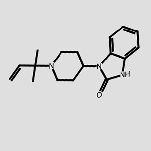 C=CC(C)(C)N1CCC(n2c(=O)[nH]c3ccccc32)CC1